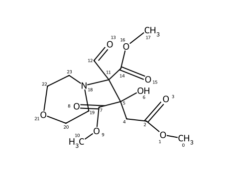 COC(=O)CC(O)(C(=O)OC)C(C=O)(C(=O)OC)N1CCOCC1